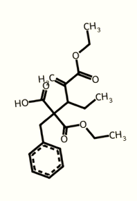 C=C(C(=O)OCC)C(CC)C(Cc1ccccc1)(C(=O)O)C(=O)OCC